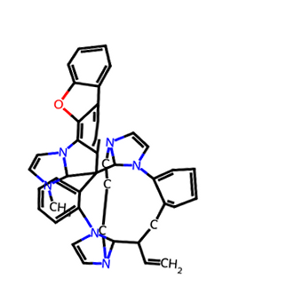 C=CC1Cc2ccccc2N2C=CN3CCCN4C=CN(c5ccccc5C5(c6ccc7c(oc8ccccc87)c6N6C=CN(C)C65)C32)C14